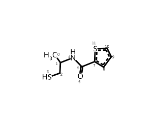 CC(CS)NC(=O)c1cccs1